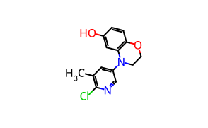 Cc1cc(N2CCOc3ccc(O)cc32)cnc1Cl